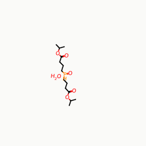 CC(C)OC(=O)CCC[PH](=O)CCCC(=O)OC(C)C.O